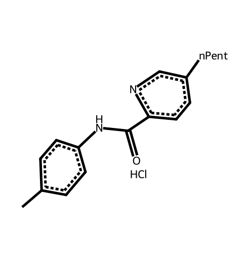 CCCCCc1ccc(C(=O)Nc2ccc(C)cc2)nc1.Cl